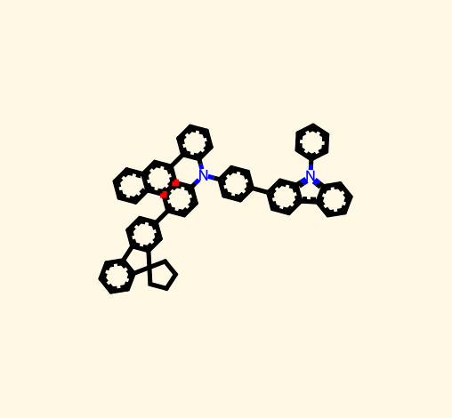 c1ccc(-n2c3ccccc3c3ccc(-c4ccc(N(c5ccc(-c6ccc7c(c6)C6(CCCC6)c6ccccc6-7)cc5)c5ccccc5-c5ccc6ccccc6c5)cc4)cc32)cc1